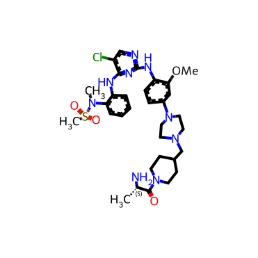 COc1cc(N2CCN(CC3CCN(C(=O)[C@H](C)N)CC3)CC2)ccc1Nc1ncc(Cl)c(Nc2ccccc2N(C)S(C)(=O)=O)n1